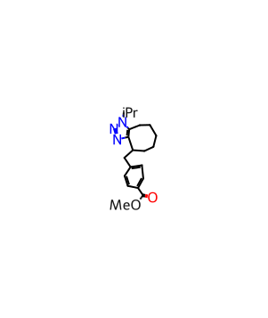 COC(=O)c1ccc(CC2CCCCCc3c2nnn3C(C)C)cc1